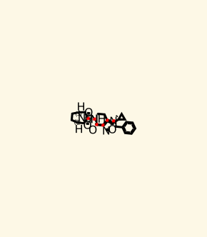 CN(Cc1ccccc1)C1CCN(S(=O)(=O)N2[C@@H]3CC[C@H]2C[C@@H](NC(=O)c2cc(C4CC4)on2)C3)CC1